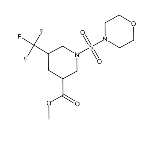 COC(=O)C1CC(C(F)(F)F)CN(S(=O)(=O)N2CCOCC2)C1